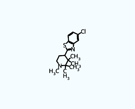 CN1CCC(c2nc3cc(Cl)ccc3s2)C(C)(C)C1(C)C